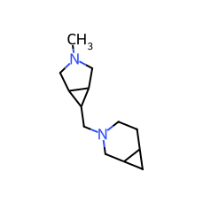 CN1CC2C(C1)C2CN1CCC2CC2C1